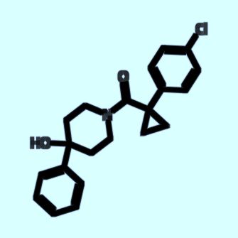 O=C(N1CCC(O)(c2ccccc2)CC1)C1(c2ccc(Cl)cc2)CC1